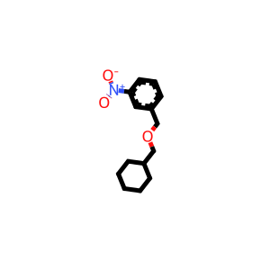 O=[N+]([O-])c1cccc(COCC2CCCCC2)c1